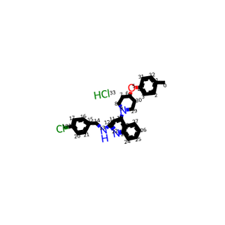 Cc1ccc(OC2CCN(c3cc(NCc4ccc(Cl)cc4)nc4ccccc34)CC2)cc1.Cl